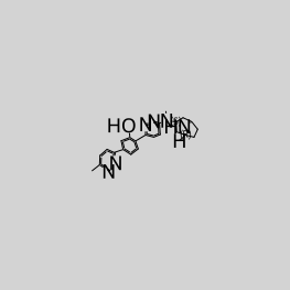 Cc1ccc(-c2ccc(-c3ccc(N(C)[C@H]4CC5CC[C@H](C4)N5)nn3)c(O)c2)nn1